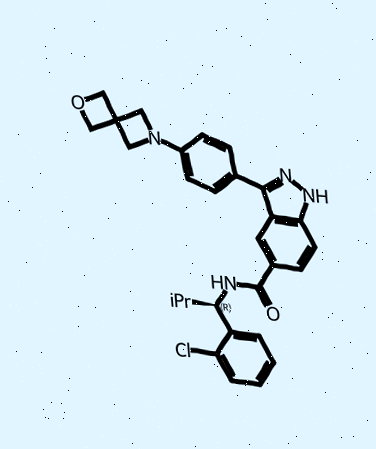 CC(C)[C@@H](NC(=O)c1ccc2[nH]nc(-c3ccc(N4CC5(COC5)C4)cc3)c2c1)c1ccccc1Cl